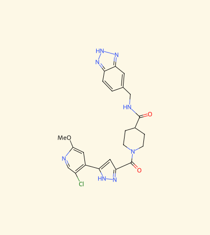 COc1cc(-c2cc(C(=O)N3CCC(C(=O)NCc4ccc5n[nH]nc5c4)CC3)n[nH]2)c(Cl)cn1